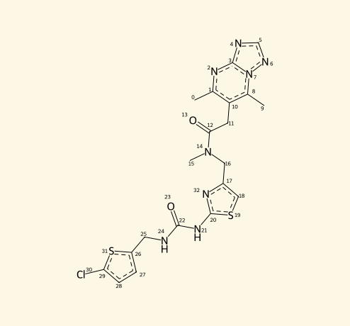 Cc1nc2ncnn2c(C)c1CC(=O)N(C)Cc1csc(NC(=O)NCc2ccc(Cl)s2)n1